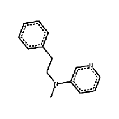 CN(CCc1ccccc1)c1cccnc1